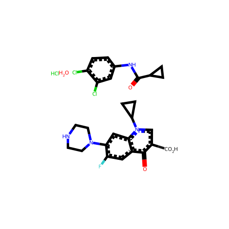 Cl.O.O=C(Nc1ccc(Cl)c(Cl)c1)C1CC1.O=C(O)c1cn(C2CC2)c2cc(N3CCNCC3)c(F)cc2c1=O